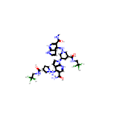 CNC(=O)c1cnc2[nH]ccc2c1NN1CC(n2ccc3c(NN4CC[C@@H](C(=O)NCC(F)(F)F)C4)c(C(N)=O)cnc32)C[C@H](C(=O)NCC(F)(F)F)C1